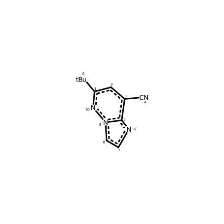 CC(C)(C)c1cc(C#N)c2nccn2n1